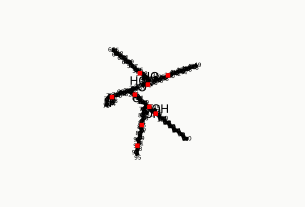 CCCCCCCCCCCCCCC(O)C/C=C(/CCCOCC/C(=C\CCOCCN(CC(O)CCCCCCCCCCCCCC)CC(O)CCCCCCCCCCCCCC)CCCCCC1CCN(C)CC1)CC(O)CCCCCCCCCCCCCC